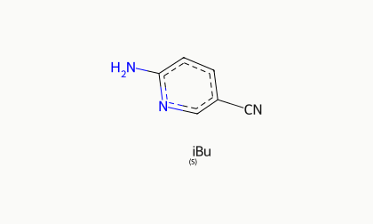 CC[C@H](C)c1nc(N)ccc1C#N